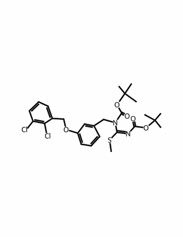 CS/C(=N/C(=O)OC(C)(C)C)N(Cc1cccc(OCc2cccc(Cl)c2Cl)c1)C(=O)OC(C)(C)C